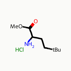 COC(=O)C(N)CCC(C)(C)C.Cl